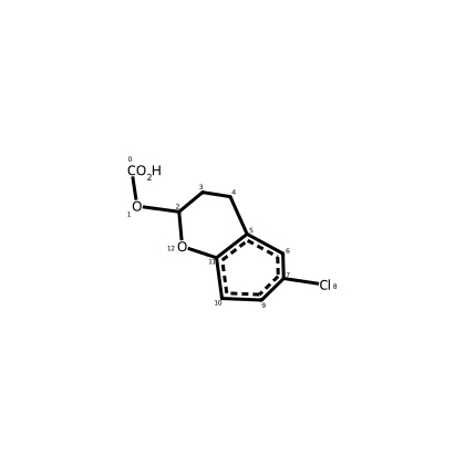 O=C(O)OC1CCc2cc(Cl)ccc2O1